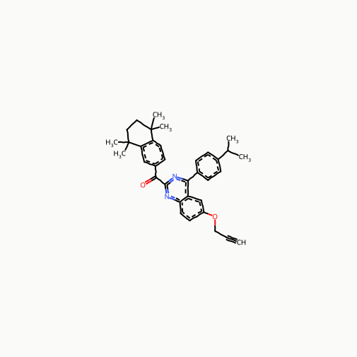 C#CCOc1ccc2nc(C(=O)c3ccc4c(c3)C(C)(C)CCC4(C)C)nc(-c3ccc(C(C)C)cc3)c2c1